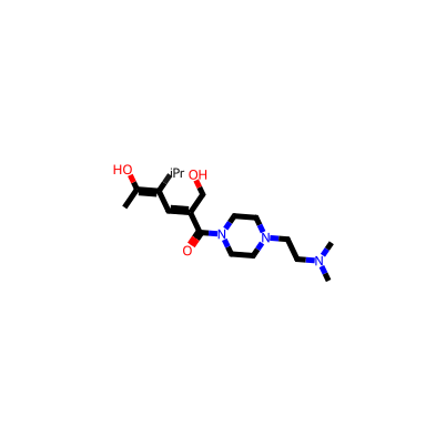 C/C(O)=C(\C=C(/CO)C(=O)N1CCN(CCN(C)C)CC1)C(C)C